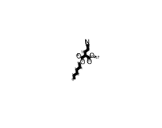 CCCCCCOC(=O)C(CCC#N)C(=O)OC